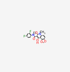 CCN(C(=O)c1c(O)c2c3c(ccc2n(C)c1=O)OCO3)c1ccc(F)cc1F